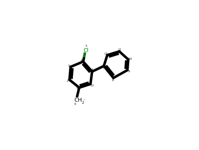 [CH2]c1ccc(Cl)c(-c2ccccc2)c1